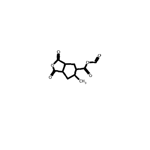 CC1CC2C(=O)OC(=O)C2CC1C(=O)OC=O